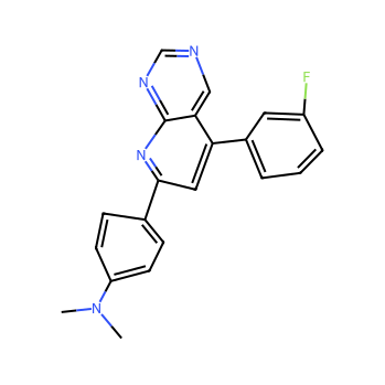 CN(C)c1ccc(-c2cc(-c3cccc(F)c3)c3cncnc3n2)cc1